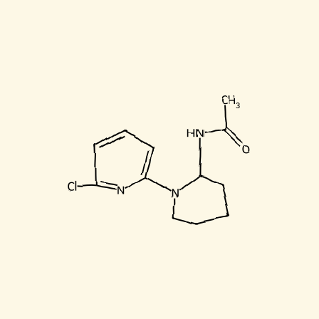 CC(=O)NC1CCCCN1c1cccc(Cl)n1